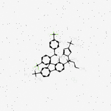 CCCCC1C=C(C(C)(C)C)C=[C]1[Zr+2](=[C](c1ccc(C(F)(F)F)cc1)c1ccc(C(F)(F)F)cc1)[c]1c(C(C)(C)C)ccc2c1Cc1cc(C(C)(C)C)ccc1-2.[Cl-].[Cl-]